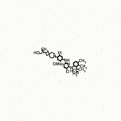 CCc1cc(Nc2ncc(Cl)c(Nc3ccc(C)c(C)c3P(C)(C)=O)n2)c(OC)cc1N1CCC2(CC1)CC(N(C)CO)C2